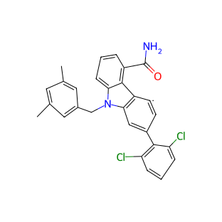 Cc1cc(C)cc(Cn2c3cc(-c4c(Cl)cccc4Cl)c[c]c3c3c(C(N)=O)cccc32)c1